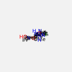 COc1cc2c(NC3=C[N+](CC(N)=O)(c4cccc(F)c4)N=C3)ncnc2cc1OCCCN(CCO)CC(C)C